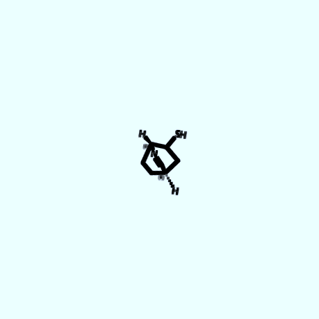 SC1C[C@@H]2C=N[C@@H]1CC2